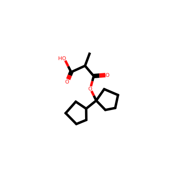 CC(C(=O)O)C(=O)OC1(C2CCCC2)CCCC1